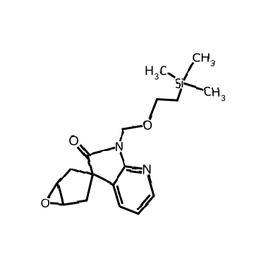 C[Si](C)(C)CCOCN1C(=O)C2(CC3OC3C2)c2cccnc21